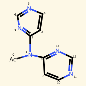 CC(=O)N(c1ccncn1)c1ccncn1